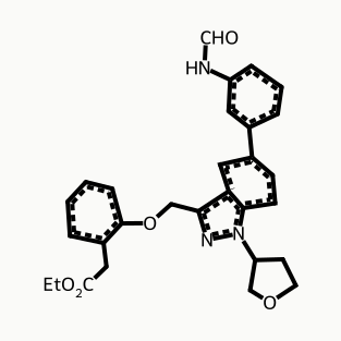 CCOC(=O)Cc1ccccc1OCc1nn(C2CCOC2)c2ccc(-c3cccc(NC=O)c3)cc12